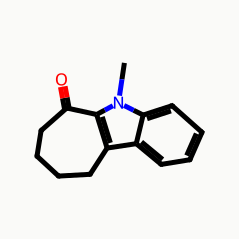 Cn1c2c(c3ccccc31)CCCCC2=O